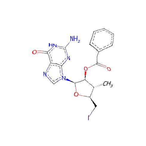 C[C@H]1[C@H](OC(=O)c2ccccc2)[C@H](n2cnc3c(=O)[nH]c(N)nc32)O[C@@H]1CI